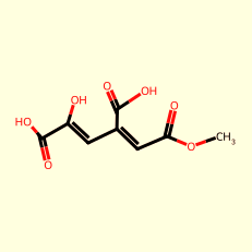 COC(=O)/C=C(/C=C(\O)C(=O)O)C(=O)O